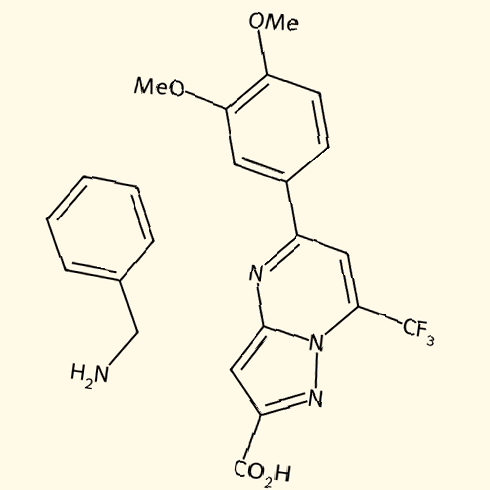 COc1ccc(-c2cc(C(F)(F)F)n3nc(C(=O)O)cc3n2)cc1OC.NCc1ccccc1